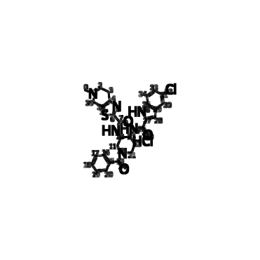 CN1CCc2nc(C(=O)NC3CN(C(=O)c4ccccc4)CCC3NC(=O)c3cc4cc(Cl)ccc4[nH]3)sc2C1.Cl